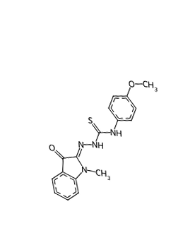 COc1ccc(NC(=S)NN=C2C(=O)c3ccccc3N2C)cc1